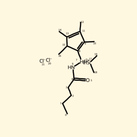 CCCCC(=O)[NH][Hf+2]([C]1=C(C)C(C)=C(C)C1C)[SiH](C)C.[Cl-].[Cl-]